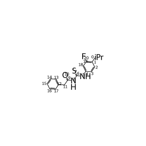 CC(C)c1ccc(NC(=S)NC(=O)Cc2ccccc2)cc1F